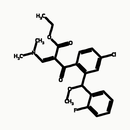 CCOC(=O)C(=CN(C)C)C(=O)c1ccc(Cl)cc1C(OC)c1ccccc1F